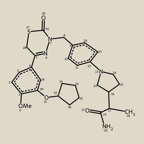 COc1ccc(C2=NN(Cc3ccc(N4CCC(C(C)C(N)=O)C4)cc3)C(=O)SC2)cc1OC1CCCC1